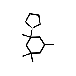 CC1CC(C)(C)CC(C)(N2CCCC2)C1